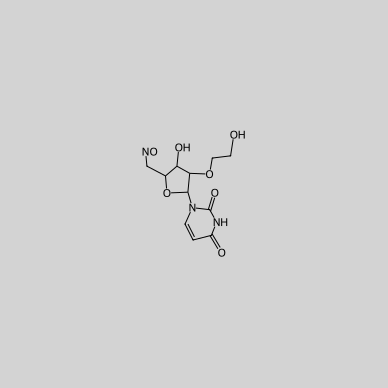 O=NCC1OC(n2ccc(=O)[nH]c2=O)C(OCCO)C1O